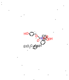 CC(=O)Nc1ccc([As](=O)(O)OO)c(N(C)C(=O)COCc2ccc(O)cc2)c1.CCOC(=O)c1ccccc1